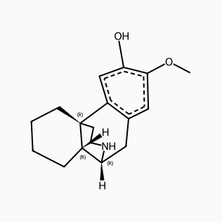 COc1cc2c(cc1O)[C@@]13CCCC[C@H]1[C@@H](C2)NCC3